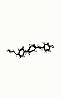 C=CCCc1ccc(-c2ccc(C#Cc3ccc(C)cc3)cc2)cc1